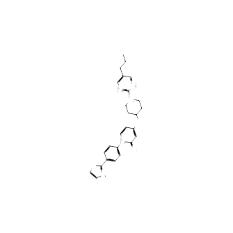 CCCc1cnc(N2CCC(Oc3ccn(-c4ccc(-c5ncco5)cc4)c(=O)c3)CC2)nc1